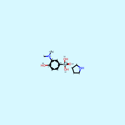 C1CCNC1.CC(=O)N(C)c1cc([As](=O)(O)O)ccc1O